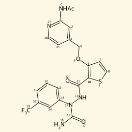 CC(=O)Nc1cc(COc2ccsc2C(=O)NN(C(N)=O)c2cccc(C(F)(F)F)c2)ccn1